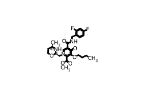 CCCCOc1c(C(=O)OC)n(C[C@@H]2N[C@H](C)CCO2)cc(C(=O)NCc2ccc(F)cc2F)c1=O